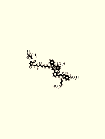 C[C@H](CSC1CC(=O)N(CCNC(=O)CCCCCN2/C(=C/C=C3\CCCC(/C=C/C4=[N+](CCCCS(=O)(=O)O)c5ccc(S(=O)(=O)O)cc5C4(C)C)=C3Oc3ccc(S(=O)(=O)O)cc3)C(C)(C)c3ccccc32)C1=O)C(N)=O